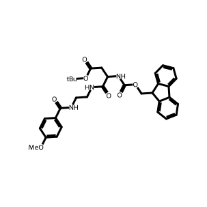 COc1ccc(C(=O)NCCNC(=O)C(CC(=O)OC(C)(C)C)NC(=O)OCC2c3ccccc3-c3ccccc32)cc1